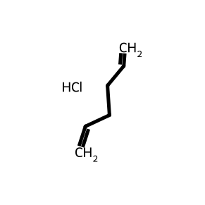 C=CCCC=C.Cl